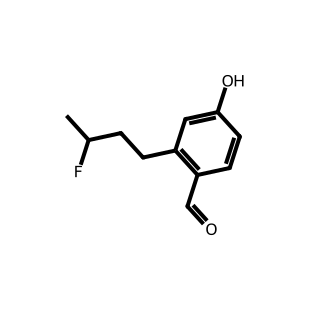 CC(F)CCc1cc(O)ccc1C=O